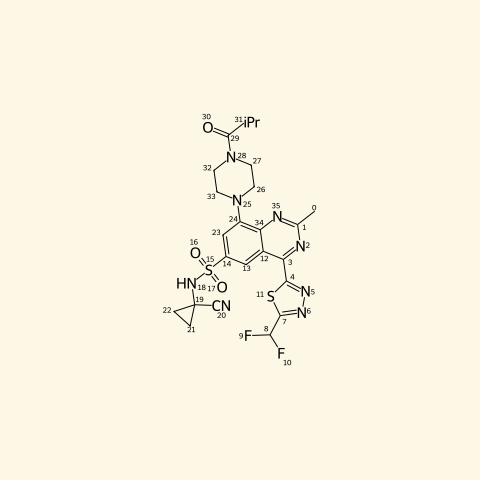 Cc1nc(-c2nnc(C(F)F)s2)c2cc(S(=O)(=O)NC3(C#N)CC3)cc(N3CCN(C(=O)C(C)C)CC3)c2n1